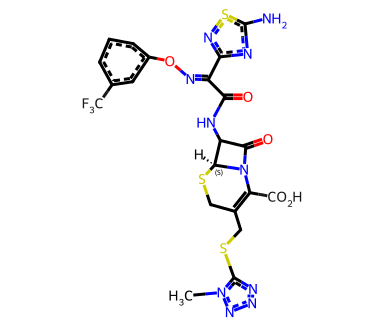 Cn1nnnc1SCC1=C(C(=O)O)N2C(=O)C(NC(=O)C(=NOc3cccc(C(F)(F)F)c3)c3nsc(N)n3)[C@@H]2SC1